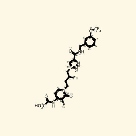 O=C(O)C(=O)Nc1ccn(CCC(F)Cn2cc(C(=O)NCc3cccc(OC(F)(F)F)c3)nn2)c(=O)c1F